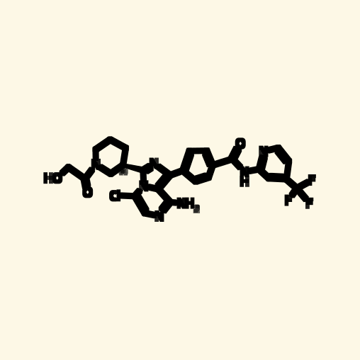 Nc1ncc(Cl)n2c([C@@H]3CCCN(C(=O)CO)C3)nc(-c3ccc(C(=O)Nc4cc(C(F)(F)F)ccn4)cc3)c12